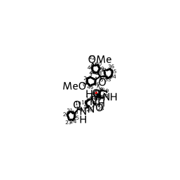 COc1ccc(C(OC[C@@]23CN[C@@H]([C@H](n4ccc(NC(=O)c5ccccc5)nc4=O)O2)[C@@H]3O)(c2ccccc2)c2ccc(OC)cc2)cc1